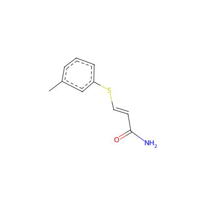 Cc1cccc(SC=CC(N)=O)c1